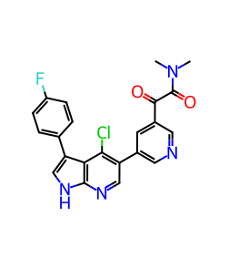 CN(C)C(=O)C(=O)c1cncc(-c2cnc3[nH]cc(-c4ccc(F)cc4)c3c2Cl)c1